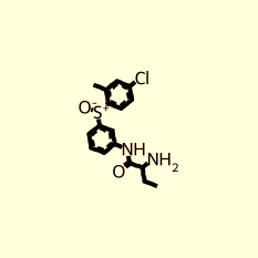 CCC(N)C(=O)Nc1cccc([S+]([O-])c2ccc(Cl)cc2C)c1